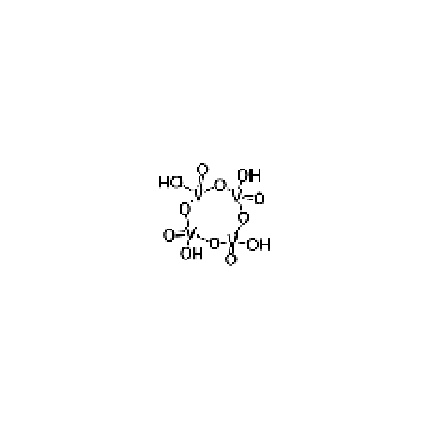 [O]=[V]1([OH])[O][V](=[O])([OH])[O][V](=[O])([OH])[O][V](=[O])([OH])[O]1